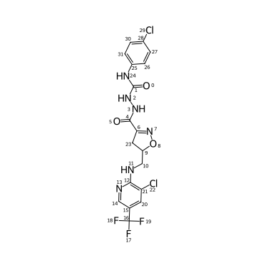 O=C(NNC(=O)C1=NOC(CNc2ncc(C(F)(F)F)cc2Cl)C1)Nc1ccc(Cl)cc1